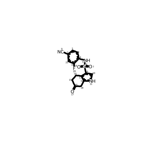 N#Cc1ccc(NS(=O)(=O)c2c[nH]c3c2CCC(=O)C3)c(F)c1